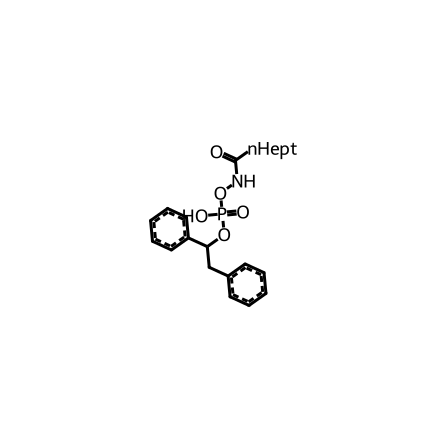 CCCCCCCC(=O)NOP(=O)(O)OC(Cc1ccccc1)c1ccccc1